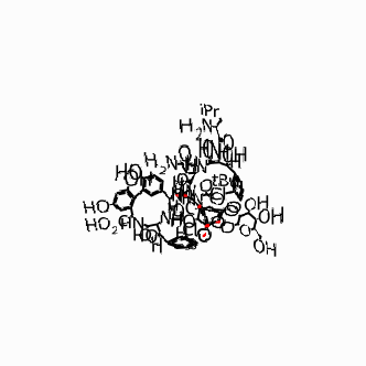 CC(C)C[C@H](N)C(=O)N[C@H]1C(=O)N[C@@H](CC(N)=O)C(=O)N[C@H]2C(=O)N[C@H]3C(=O)NC(C(=O)N[C@H](C(=O)O)c4cc(O)cc(O)c4-c4cc3ccc4O)[C@H](O)c3ccc(c(Cl)c3)Oc3cc2cc(c3OC2O[C@H](CO)[C@@H](O)[C@H](O)C2O[C@H]2C[C@](C)(NC(=O)OC(C)(C)C)[C@H](O)[C@H](C)O2)Oc2ccc(cc2Cl)[C@H]1O